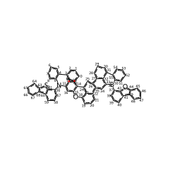 c1ccc(-c2ccccc2N(c2ccc3c(c2)Oc2cccc4c2c-3cc2c3cccc5c3c(cc42)B(c2cccc3c2oc2ccccc23)c2ccccc2-5)c2cccc3c2sc2ccccc23)cc1